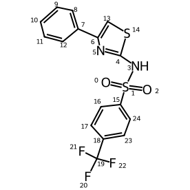 O=S(=O)(Nc1nc(-c2ccccc2)cs1)c1ccc(C(F)(F)F)cc1